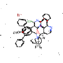 C=C[C@H]1C[N+]2(Cc3cc(-c4ccccc4)c(OC)c(-c4ccccc4)c3)CC[C@H]1C[C@@H]2[C@@H](Oc1nc(-c2ccccc2)nc(Cl)c1-c1ccccc1)c1ccnc2ccccc12.[Br-]